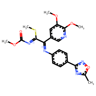 COC(=O)/N=C(SC)/C(=N/c1ccc(-c2noc(C)n2)cc1)c1cnc(OC)c(OC)c1